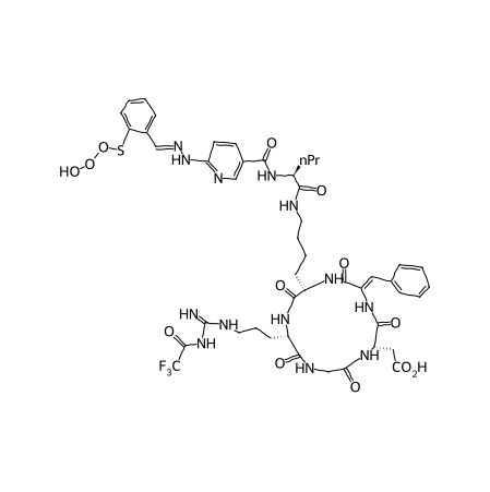 CCC[C@H](NC(=O)c1ccc(N/N=C/c2ccccc2SOOO)nc1)C(=O)NCCCC[C@@H]1NC(=O)/C(=C/c2ccccc2)NC(=O)[C@H](CC(=O)O)NC(=O)CNC(=O)[C@H](CCCNC(=N)NC(=O)C(F)(F)F)NC1=O